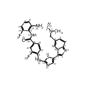 CN(C)Cc1ccc2ncc(-c3cnc(Nc4ccc(C(=O)Nc5c(N)cccc5F)cc4F)s3)n2c1